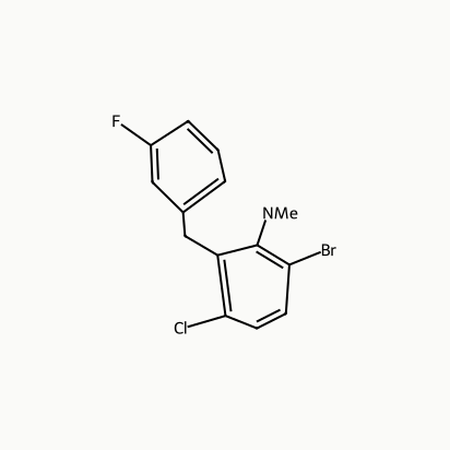 CNc1c(Br)ccc(Cl)c1Cc1cccc(F)c1